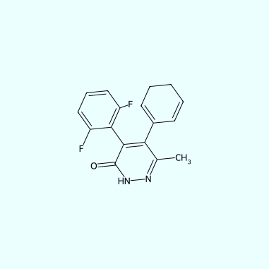 Cc1n[nH]c(=O)c(-c2c(F)cccc2F)c1C1=CCCC=C1